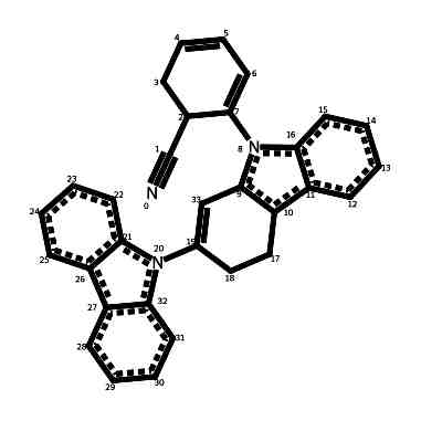 N#CC1CC=CC=C1n1c2c(c3ccccc31)CCC(n1c3ccccc3c3ccccc31)=C2